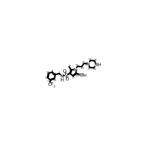 Cc1c(S(=O)(=O)NCc2cccc(C(F)(F)F)c2)cc(C(C)(C)C)n1CCCN1CCNCC1